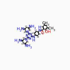 Cc1cc(C)c(O)c(C(=O)Nc2ccc(Nc3nc(N4C[C@H](N)C[C@H](N)C4)nc(N4C[C@H](N)C[C@H](N)C4)n3)cc2)c1